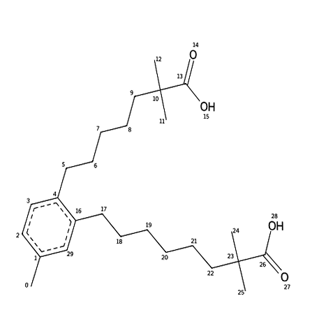 Cc1ccc(CCCCCC(C)(C)C(=O)O)c(CCCCCCC(C)(C)C(=O)O)c1